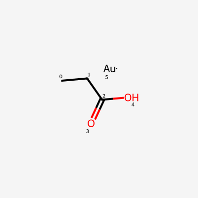 CCC(=O)O.[Au]